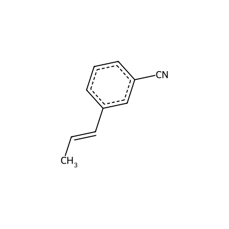 CC=Cc1cccc(C#N)c1